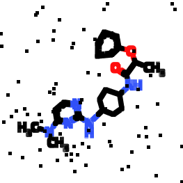 CC(Oc1ccccc1)C(=O)NC1CCC(Nc2nccc(N(C)C)n2)CC1